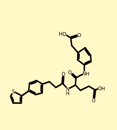 O=C(O)CCC(NC(=O)CCc1ccc(-c2cccs2)cc1)C(=O)Nc1cccc(CC(=O)O)c1